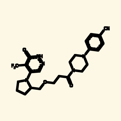 N#Cc1ccc(N2CCN(C(=O)CCOCC3CCCN3c3cn[nH]c(=O)c3C(F)(F)F)CC2)cc1